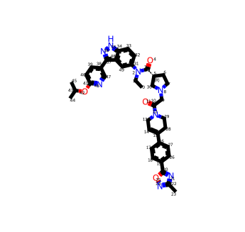 CCN(C(=O)[C@@H]1CCN(CC(=O)N2CC=C(c3ccc(-c4nc(C)no4)cc3)CC2)C1)c1ccc2[nH]nc(-c3ccc(OC(C)C)nc3)c2c1